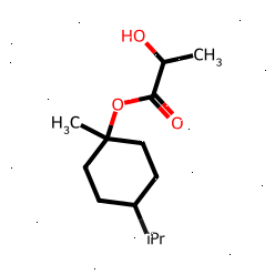 CC(O)C(=O)OC1(C)CCC(C(C)C)CC1